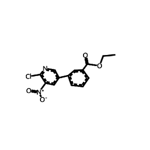 CCOC(=O)c1cccc(-c2cnc(Cl)c([N+](=O)[O-])c2)c1